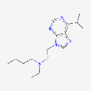 CCCCN(CC)CCn1cnc2c(C(C)C)ncnc21